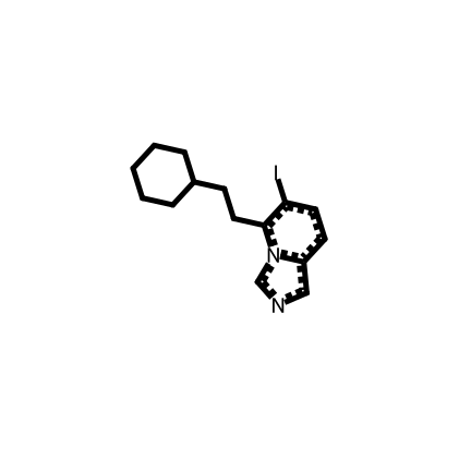 Ic1ccc2cncn2c1CCC1CCCCC1